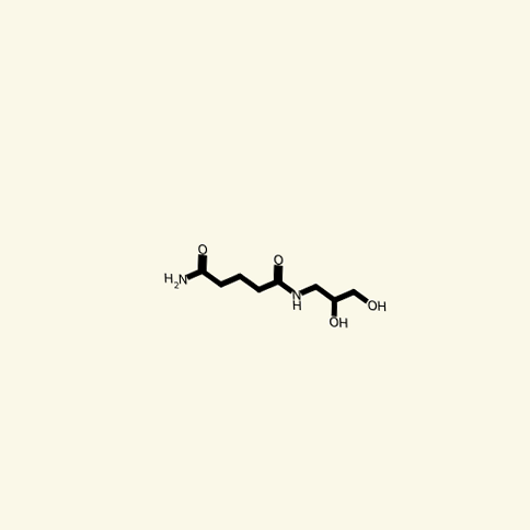 NC(=O)CCCC(=O)NCC(O)CO